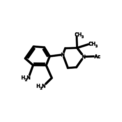 CC(=O)N1CCN(c2cccc(N)c2CN)CC1(C)C